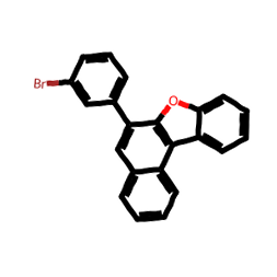 Brc1cccc(-c2cc3ccccc3c3c2oc2ccccc23)c1